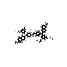 Cc1cc(C)cc(N(c2ccc(/C=C/c3ccc(N(c4cc(C)cc(C)c4)c4ccc5cc(Br)ccc5c4)cc3)cc2)c2ccc3cc(Br)ccc3c2)c1